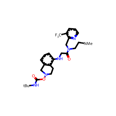 CNCCN(Cc1ncccc1C(F)(F)F)C(=O)CNc1cccc2c1CCN(OC(=O)NC(C)(C)C)C2